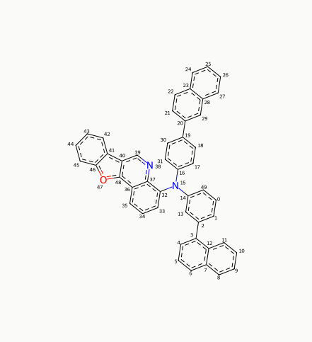 c1cc(-c2cccc3ccccc23)cc(N(c2ccc(-c3ccc4ccccc4c3)cc2)c2cccc3c2ncc2c4ccccc4oc32)c1